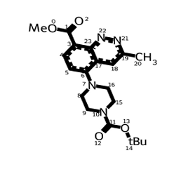 COC(=O)c1ccc(N2CCN(C(=O)OC(C)(C)C)CC2)c2cc(C)nnc12